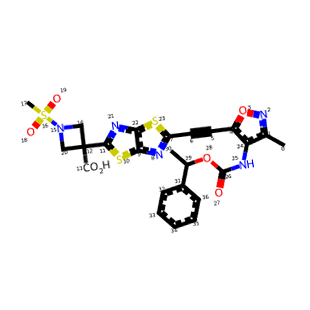 Cc1noc(C#Cc2nc3sc(C4(C(=O)O)CN(S(C)(=O)=O)C4)nc3s2)c1NC(=O)OC(C)c1ccccc1